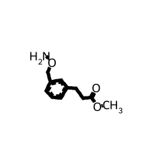 COC(=O)CCc1cccc(CON)c1